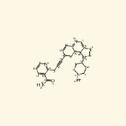 CC(C)N1CCC(n2cnc3cnc4ccc(C#CCc5ncccc5C(N)=O)cc4c32)CC1